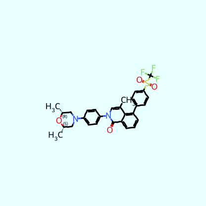 Cc1cn(-c2ccc(N3C[C@@H](C)O[C@@H](C)C3)cc2)c(=O)c2cccc(-c3ccc(S(=O)(=O)C(F)(F)F)cc3)c12